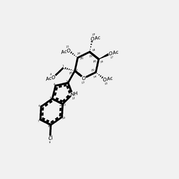 CC(=O)OC[C@@]1(c2cc3ccc(Cl)cc3[nH]2)O[C@@H](OC(C)=O)[C@H](OC(C)=O)[C@@H](OC(C)=O)[C@H]1OC(C)=O